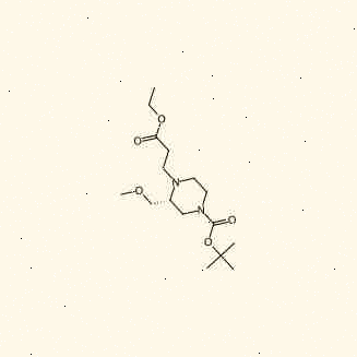 CCOC(=O)CCN1CCN(C(=O)OC(C)(C)C)C[C@@H]1COC